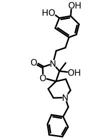 CC1(O)N(CCc2ccc(O)c(O)c2)C(=O)OC12CCN(Cc1ccccc1)CC2